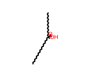 CCCCCCCCCCCCCCCCCCC(C)(CCCCCCCCCCCCCC)C(=O)O